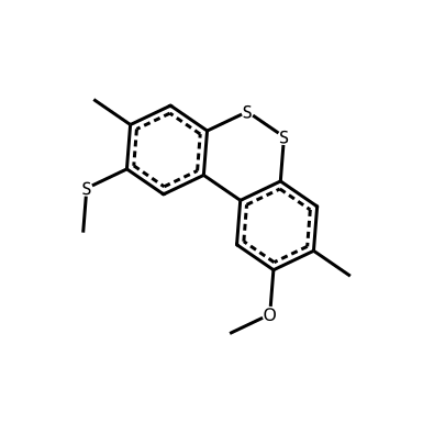 COc1cc2c(cc1C)SSc1cc(C)c(SC)cc1-2